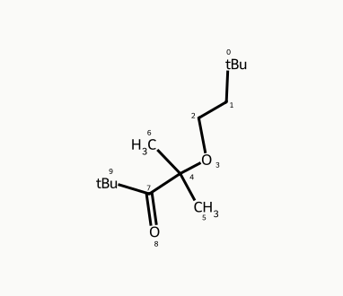 CC(C)(C)CCOC(C)(C)C(=O)C(C)(C)C